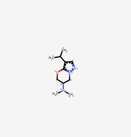 CC(C)c1cnn2c1OC[C@H](N(C)C)C2